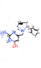 Nc1nc(O)cc(CN2CCCC2c2ccccc2)n1